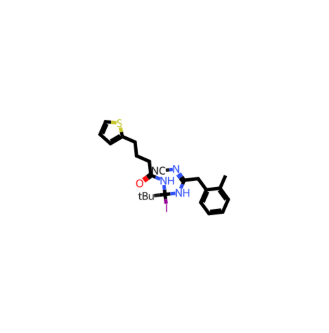 Cc1ccccc1CC(=NC#N)NC(I)(NC(=O)CCCc1cccs1)C(C)(C)C